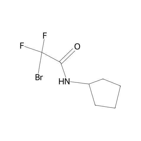 O=C(NC1CCCC1)C(F)(F)Br